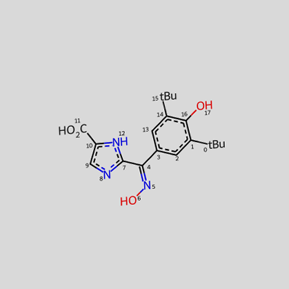 CC(C)(C)c1cc(C(=NO)c2ncc(C(=O)O)[nH]2)cc(C(C)(C)C)c1O